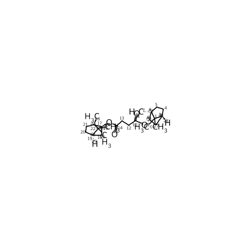 CC1(C)[C@@H]2CC[C@]1(C)[C@@H](OC(=O)CCC(=O)O[C@H]1C[C@H]3CC[C@@]1(C)C3(C)C)C2